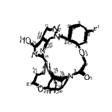 O=C1COc2cc(F)ccc2-n2ncc3c(O)nc(nc32)N2CCO[C@@H]3CN1C[C@@H]32